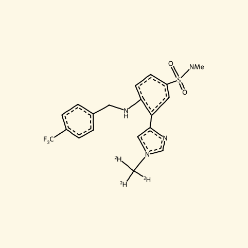 [2H]C([2H])([2H])n1cnc(-c2cc(S(=O)(=O)NC)ccc2NCc2ccc(C(F)(F)F)cc2)c1